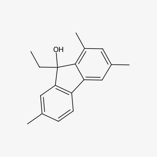 CCC1(O)c2cc(C)ccc2-c2cc(C)cc(C)c21